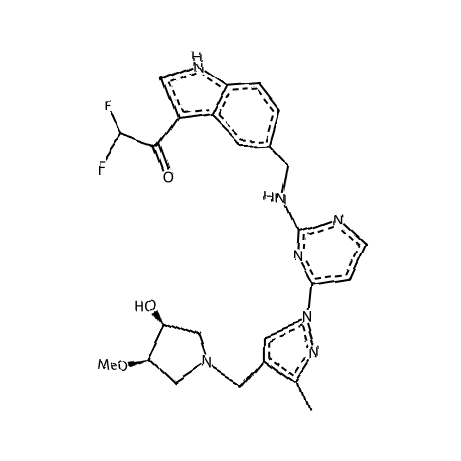 CO[C@@H]1CN(Cc2cn(-c3ccnc(NCc4ccc5[nH]cc(C(=O)C(F)F)c5c4)n3)nc2C)C[C@@H]1O